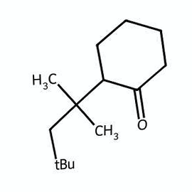 CC(C)(C)CC(C)(C)C1CCCCC1=O